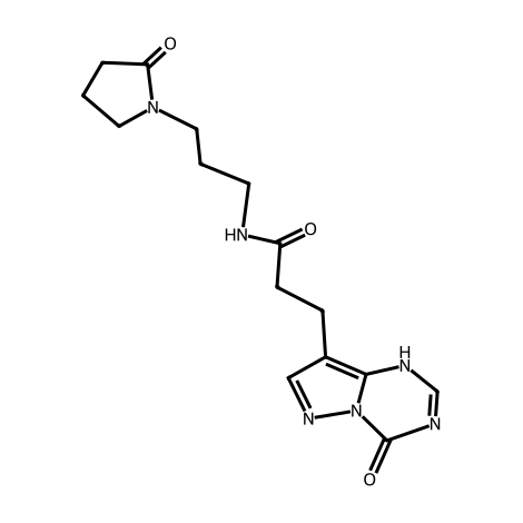 O=C(CCc1cnn2c(=O)nc[nH]c12)NCCCN1CCCC1=O